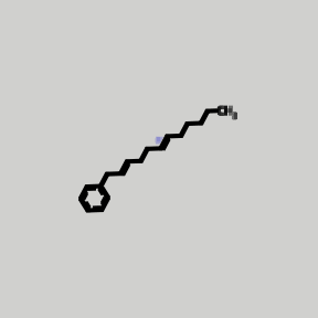 CCCCC/C=C/CCC=CCc1ccccc1